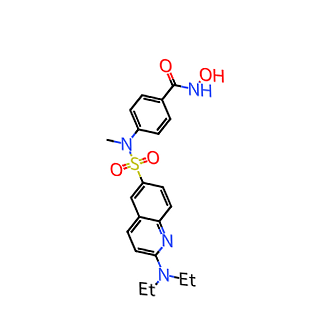 CCN(CC)c1ccc2cc(S(=O)(=O)N(C)c3ccc(C(=O)NO)cc3)ccc2n1